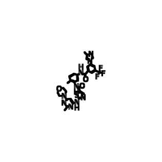 Cc1cn(-c2cc(C(=O)Nc3ccc(C)c(NC(=O)c4cnc(Nc5cc(N6CCOCC6)nc(C)n5)s4)c3)cc(C(F)(F)F)c2)cn1